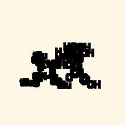 CC(C)(C)OC(=O)CN1CCN(CC(=O)NCCNC(=O)C2O[C@@H](Oc3cc4c(c(O)c3O)CC(=O)C=C(c3ccc(O)cc3)O4)C(O)C(O)[C@@H]2O)CCN(CC(=O)OC(C)(C)C)CCN(CC(=O)OC(C)(C)C)CC1